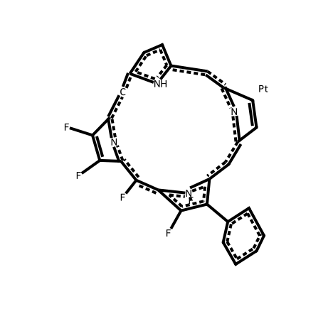 FC1=C(F)c2nc1cc1ccc(cc3nc(cc4c(-c5ccccc5)c(F)c(c2F)n4F)C=C3)[nH]1.[Pt]